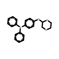 c1ccc([S+](c2ccccc2)c2ccc(OC3COCCO3)cc2)cc1